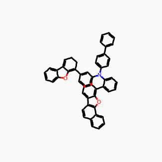 C1=c2c(oc3ccccc23)=C(c2cccc(N(c3ccc(-c4ccccc4)cc3)c3ccccc3-c3cccc4c3oc3c5ccccc5ccc43)c2)CC1